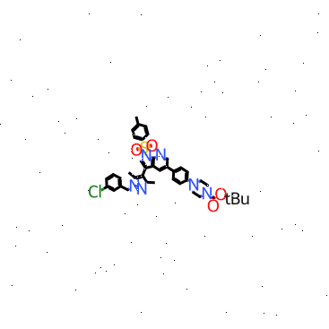 Cc1ccc(S(=O)(=O)n2cc(-c3c(C)nn(Cc4cccc(Cl)c4)c3C)c3cc(-c4ccc(N5CCN(C(=O)OC(C)(C)C)CC5)cc4)cnc32)cc1